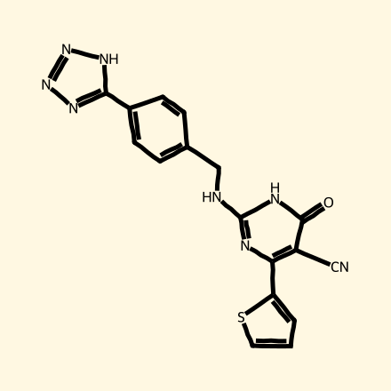 N#Cc1c(-c2cccs2)nc(NCc2ccc(-c3nnn[nH]3)cc2)[nH]c1=O